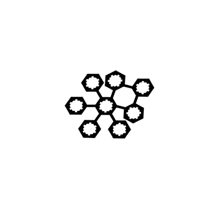 c1ccc(-c2c(-c3ccccc3)c(-c3ccccc3)c3c(c2-c2ccccc2)-c2ccccc2-c2ccccc2-c2ccccc2-3)cc1